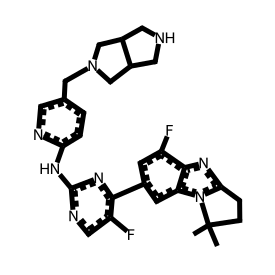 CC1(C)CCc2nc3c(F)cc(-c4nc(Nc5ccc(CN6CC7CNCC7C6)cn5)ncc4F)cc3n21